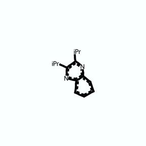 CC(C)c1nc2ccccc2nc1C(C)C